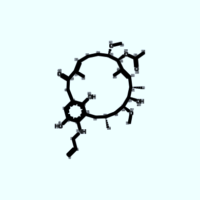 C=CCNc1c(O)cc2c(O)c1C[C@@H](C)C[C@H](OC)[C@H](O)[C@@H](C)/C=C(\C)[C@H](OC(C)=O)[C@@H](OC)CC/C=C(\C)C(=O)C2